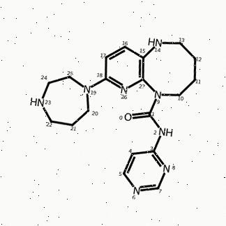 O=C(Nc1ccncn1)N1CCCCNc2ccc(N3CCCNCC3)nc21